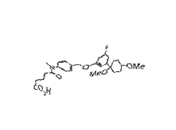 CO[C@H]1CC[C@](OC)(c2cc(F)cc(OCc3ccc(N(C)C(=O)CCCC(=O)O)cc3)c2)CC1